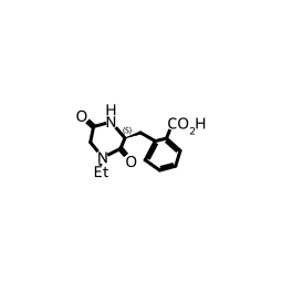 CCN1CC(=O)N[C@@H](Cc2ccccc2C(=O)O)C1=O